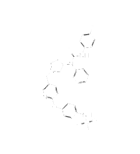 CS(=O)(=O)Nc1ccc(Oc2ccc(CN3CC[C@@H](N(C(=O)Nc4ccc(F)cc4)c4ccccc4)C3)cn2)cc1